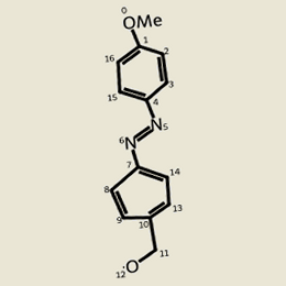 COc1ccc(N=Nc2ccc(C[O])cc2)cc1